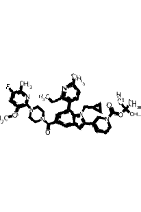 CCc1nc(C)ccc1-c1cc(C(=O)N2CCN(c3nc(C)c(F)cc3OC)CC2)cc2cc(C3=CCCN(C(=O)OC(C)(C)C)C3)n(CC3CC3)c12